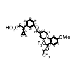 COc1ccc(C(OCC(F)(F)F)C(F)(F)F)c(N2CCC(COc3cccc(C(CC(=O)O)C4CC4)c3)CC2)c1